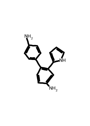 Nc1ccc(-c2ccc(N)cc2-c2ccc[nH]2)cc1